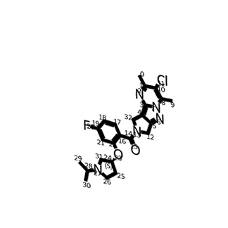 Cc1nc2c3c(nn2c(C)c1Cl)CN(C(=O)c1ccc(F)cc1O[C@H]1CCN(C(C)C)C1)C3